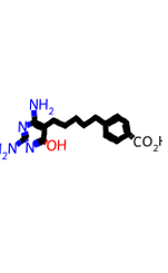 Nc1nc(N)c(CCCCCc2ccc(C(=O)O)cc2)c(O)n1